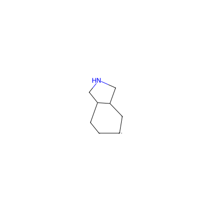 [CH]1CCC2CNCC2C1